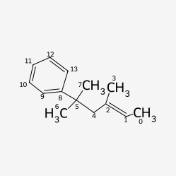 C/C=C(\C)CC(C)(C)c1ccccc1